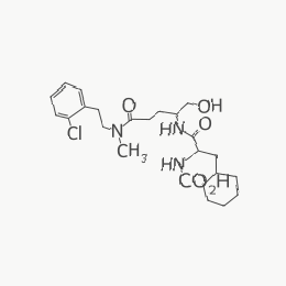 CN(CCc1ccccc1Cl)C(=O)CCC(CO)NC(=O)C(CC1CCCCC1)NC(=O)O